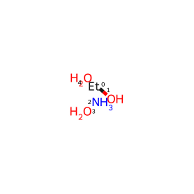 CCO.N.O.O